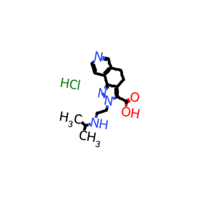 CC(C)NCCn1nc2c(c1C(=O)O)CCc1cnccc1-2.Cl